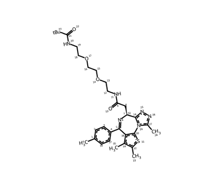 Cc1ccc(C2=N[C@@H](CC(=O)NCCOCCOCCNC(=O)C(C)(C)C)c3nnc(C)n3-c3sc(C)c(C)c32)cc1